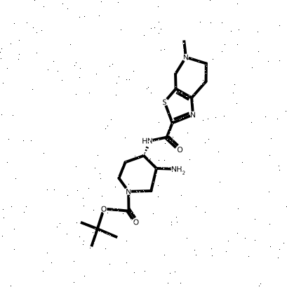 CN1CCc2nc(C(=O)N[C@H]3CCN(C(=O)OC(C)(C)C)CC3N)sc2C1